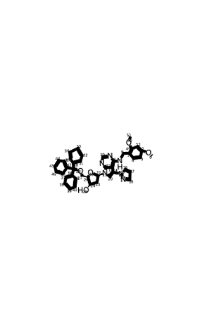 COc1ccc(CNc2ncnc3c2c(-n2cccn2)cn3[C@H]2C[C@H](O)[C@@H](COC(c3ccccc3)(c3ccccc3)c3ccccc3)O2)c(OC)c1